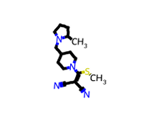 CSC(=C(C#N)C#N)N1CCC(CN2CCCC2C)CC1